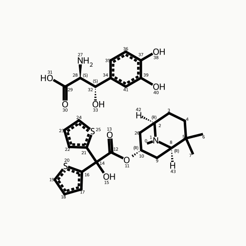 CN1[C@@H]2CCC(C)(C)[C@H]1C[C@H](OC(=O)C(O)(c1cccs1)c1cccs1)C2.N[C@H](C(=O)O)[C@@H](O)c1ccc(O)c(O)c1